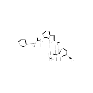 N#Cc1ccc(NC(=O)c2cc3cccc(NC(=O)C4CC4c4ccccc4)c3[nH]2)c(-c2nnn[nH]2)c1